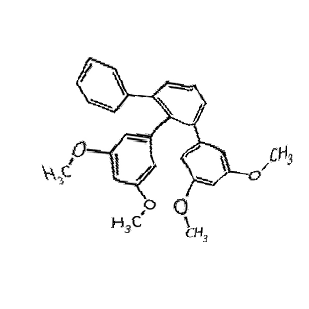 COc1cc(OC)cc(-c2cccc(-c3ccccc3)c2-c2cc(OC)cc(OC)c2)c1